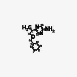 CC(COCc1ccccc1)c1cnc(N)cn1